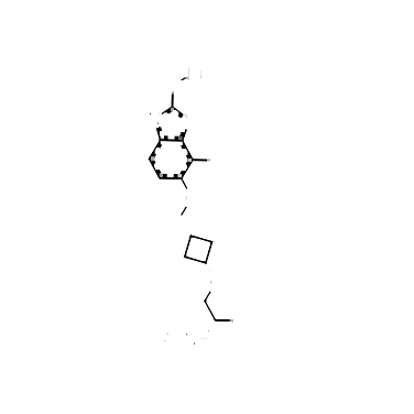 CCOc1nc2ccc(OC[C@H]3C[C@@H](OC[C@H](C)NC(C)=O)C3)c(Cl)c2s1